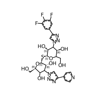 OCC1O[C@@H](S[C@@H]2O[C@H](CO)C(O)C(n3cc(-c4ccncc4)nn3)[C@H]2O)[C@@H](O)C(n2cc(-c3cc(F)c(F)c(F)c3)nn2)[C@H]1O